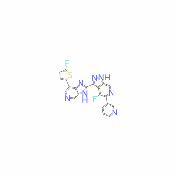 Fc1ccc(-c2cncc3[nH]c(-c4n[nH]c5cnc(-c6cccnc6)c(F)c45)nc23)s1